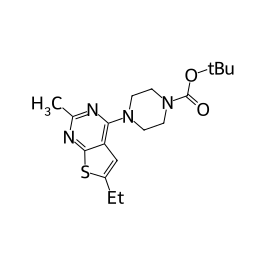 CCc1cc2c(N3CCN(C(=O)OC(C)(C)C)CC3)nc(C)nc2s1